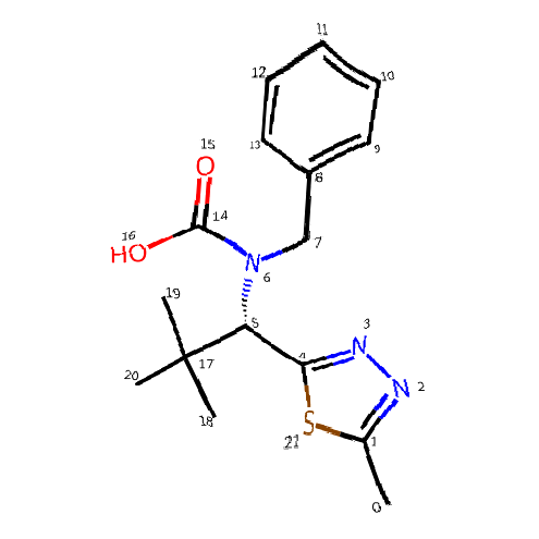 Cc1nnc([C@@H](N(Cc2ccccc2)C(=O)O)C(C)(C)C)s1